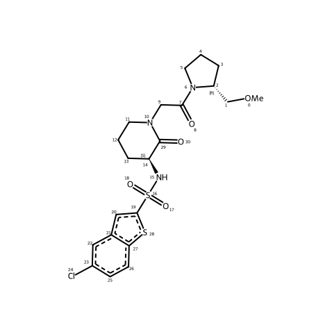 COC[C@H]1CCCN1C(=O)CN1CCC[C@H](NS(=O)(=O)c2cc3cc(Cl)ccc3s2)C1=O